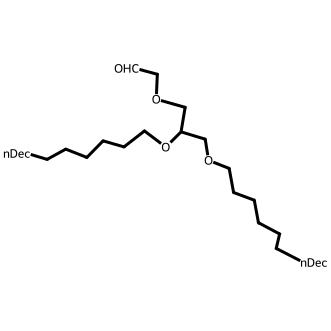 CCCCCCCCCCCCCCCCOCC(COCC=O)OCCCCCCCCCCCCCCCC